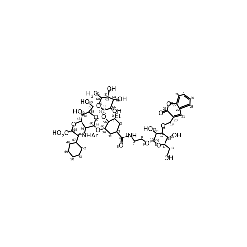 CCC1CC(C(=O)NCCO[C@H]2OC(CO)[C@@H](O)C(OCc3cc4ccccc4oc3=O)C2O)C[C@@H](O[C@@H]2OC(CO)[C@H](O)C(O[C@@H](CC3CCCCC3)C(=O)O)C2NC(C)=O)C1O[C@@H]1OC(C)[C@@H](O)C(O)C1O